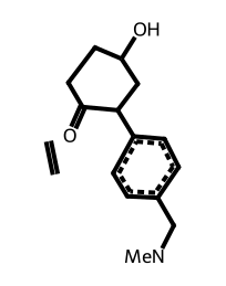 C=C.CNCc1ccc(C2CC(O)CCC2=O)cc1